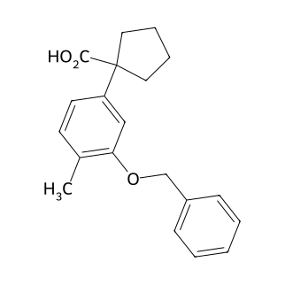 Cc1ccc(C2(C(=O)O)CCCC2)cc1OCc1ccccc1